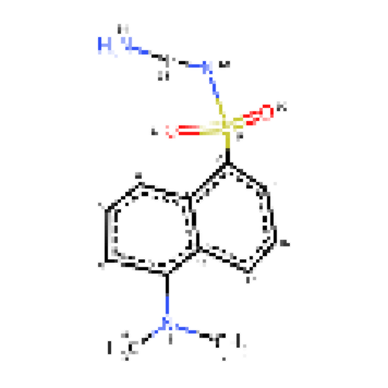 CN(C)c1cccc2c(S(=O)(=O)[N][Ir][NH2])cccc12